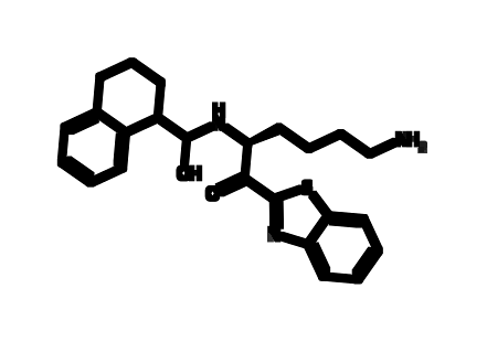 NCCCC[C@H](NC(O)C1CCCc2ccccc21)C(=O)c1nc2ccccc2s1